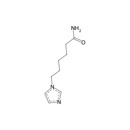 NC(=O)CCCCCn1ccnc1